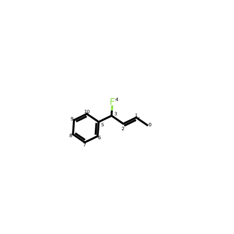 C/[C]=C/C(F)c1ccccc1